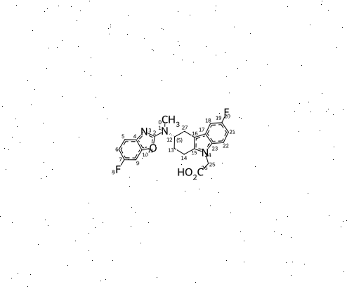 CN(c1nc2ccc(F)cc2o1)[C@H]1CCc2c(c3cc(F)ccc3n2CC(=O)O)C1